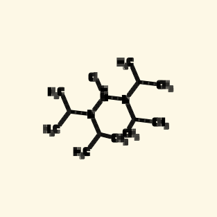 CC(C)N(C(C)C)[SiH](Cl)N(C(C)C)C(C)C